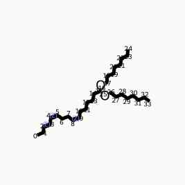 CC/C=C/C=C\CC/C=C\CCCCCC(OCCCCCCCC)OCCCCCCCC